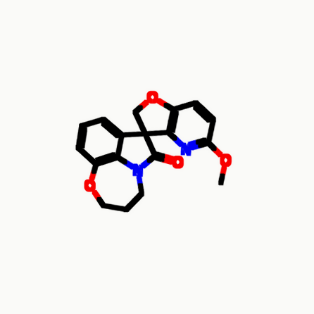 COc1ccc2c(n1)C1(CO2)C(=O)N2CCCOc3cccc1c32